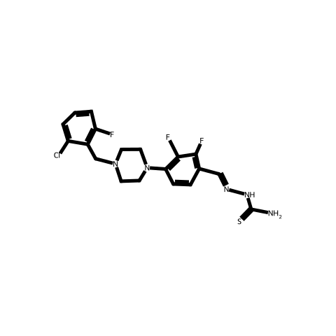 NC(=S)NN=Cc1ccc(N2CCN(Cc3c(F)cccc3Cl)CC2)c(F)c1F